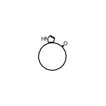 O=C1CCCCCCCCCCCCCCc2[nH]ccc2C1